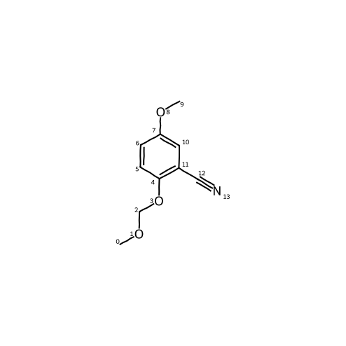 COCOc1ccc(OC)cc1C#N